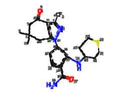 CC1(C)CC(=O)c2c(C(F)(F)F)nn(-c3ccc(C(N)=O)c(NC4CCSCC4)c3)c2C1